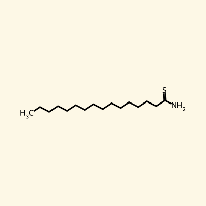 CCCCCCCCCCCCCCCC(N)=S